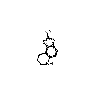 N#Cc1nc2ccc3c(c2s1)CCCN3